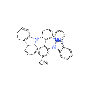 N#Cc1ccc(C2=C(N)C=CCC2N2C3=C(CCC=C3)C3C=CC=CC32)c(-n2c3ccccc3c3ccccc32)c1